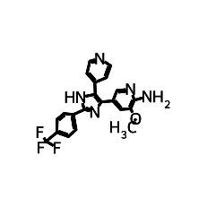 COc1cc(-c2nc(-c3ccc(C(F)(F)F)cc3)[nH]c2-c2ccncc2)cnc1N